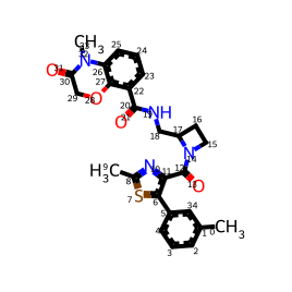 Cc1cccc(-c2sc(C)nc2C(=O)N2CCC2CNC(=O)c2cccc3c2OCC(=O)N3C)c1